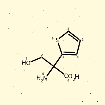 NC(CO)(C(=O)O)c1cccs1